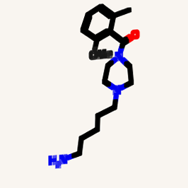 COc1cccc(C)c1C(=O)N1CCN(CCCCCN)CC1